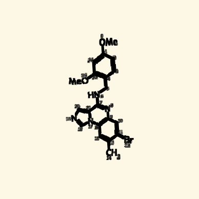 COc1ccc(CNc2nc3cc(Br)c(C)cc3n3cncc23)c(OC)c1